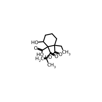 C=C(C)C(=O)C1(C(=O)O)C(O)CCCC1(CC)C(=O)O